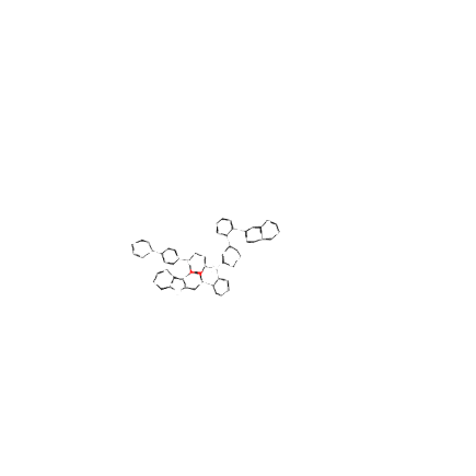 c1ccc(-c2ccc(-c3ccc(N(c4cccc(-c5ccccc5-c5ccc6ccccc6c5)c4)c4ccccc4-c4ccc5c(c4)oc4ccccc45)cc3)cc2)cc1